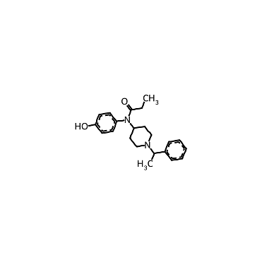 CCC(=O)N(c1ccc(O)cc1)C1CCN(C(C)c2ccccc2)CC1